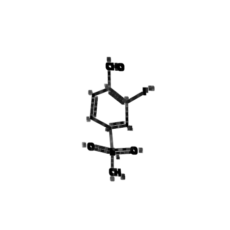 CS(=O)(=O)c1ccc(C=O)c(F)c1